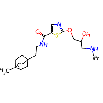 CC(C)NCC(O)COc1ncc(C(=O)NCCC23CCC(C)(CC2)CC3)s1